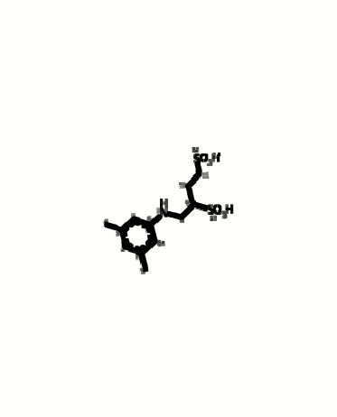 Cc1cc(C)cc(NCC(CCS(=O)(=O)O)S(=O)(=O)O)c1